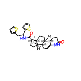 C[C@]12CC[C@H]3[C@@H](CC=C4NC(=O)CC[C@@]43C)[C@@H]1CC[C@@H]2C(=O)NC(Cc1cccs1)c1cccs1